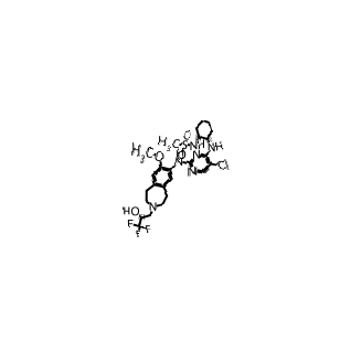 COc1cc2c(cc1Nc1ncc(Cl)c(N[C@@H]3CCCC[C@H]3NS(C)(=O)=O)n1)CCN(C[C@H](O)C(F)(F)F)CC2